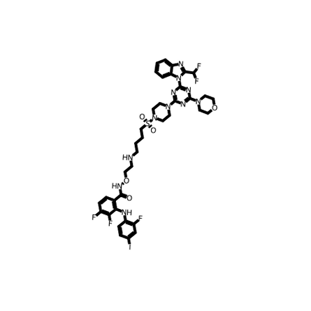 O=C(NOCCNCCCCS(=O)(=O)N1CCN(c2nc(N3CCOCC3)nc(-n3c(C(F)F)nc4ccccc43)n2)CC1)c1ccc(F)c(F)c1Nc1ccc(I)cc1F